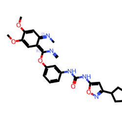 C=N/C(Oc1cccc(NC(=O)Nc2cc(C3CCCC3)no2)c1)=C1/C=C(OC)C(OC)=C/C1=N/C